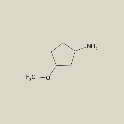 NC1CCC(OC(F)(F)F)C1